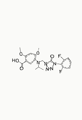 COc1cc(OC)c(N(Cn2nnn(-c3c(F)cccc3F)c2=O)C(C)C)cc1C(=O)O